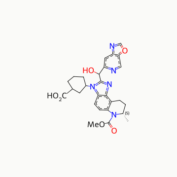 COC(=O)N1c2ccc3c(nc(C(O)c4cc5ncoc5cn4)n3C3CCCC(C(=O)O)C3)c2CC[C@@H]1C